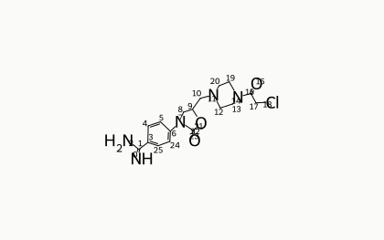 N=C(N)c1ccc(N2CC(CN3CCN(C(=O)CCl)CC3)OC2=O)cc1